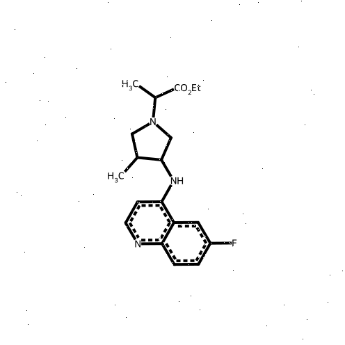 CCOC(=O)C(C)N1CC(C)C(Nc2ccnc3ccc(F)cc23)C1